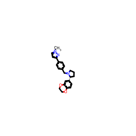 Cn1ccc(-c2ccc(CN3CCC[C@@H]3c3ccc4c(c3)OCCO4)cc2)n1